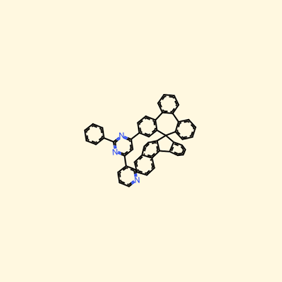 c1ccc(-c2nc(-c3cccnc3)cc(-c3ccc4c(c3)C3(c5ccccc5-c5ccccc5-4)c4ccccc4-c4c3ccc3ccccc43)n2)cc1